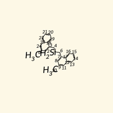 Cc1cc(C[SiH2]Cc2cc(C)cc3ccccc23)c2ccccc2c1